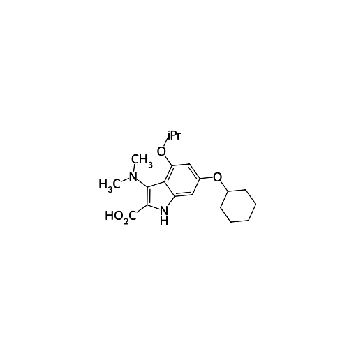 CC(C)Oc1cc(OC2CCCCC2)cc2[nH]c(C(=O)O)c(N(C)C)c12